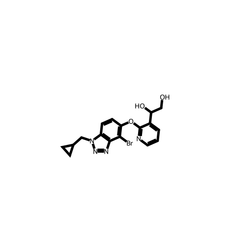 OCC(O)c1cccnc1Oc1ccc2c(nnn2CC2CC2)c1Br